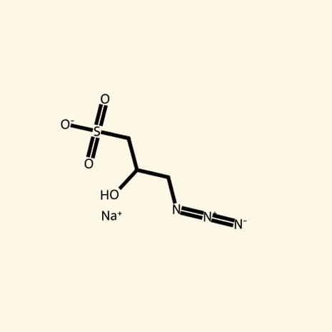 [N-]=[N+]=NCC(O)CS(=O)(=O)[O-].[Na+]